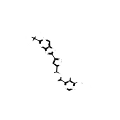 COc1ncnc(C(=O)NC(C)c2cc(-c3nc4cnc(C(C)(C)C)nc4[nH]3)no2)c1Cl